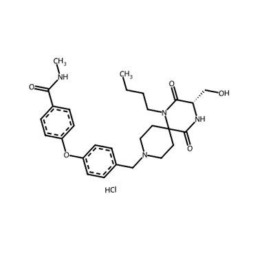 CCCCN1C(=O)[C@H](CO)NC(=O)C12CCN(Cc1ccc(Oc3ccc(C(=O)NC)cc3)cc1)CC2.Cl